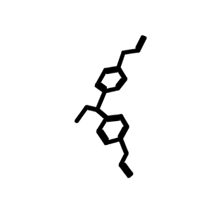 C=CCc1ccc(C(CC)c2ccc(CC=C)cc2)cc1